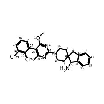 COc1nc(N2CCC3(CC2)Cc2ccccc2[C@H]3N)nc(C)c1-c1cccc(Cl)c1Cl